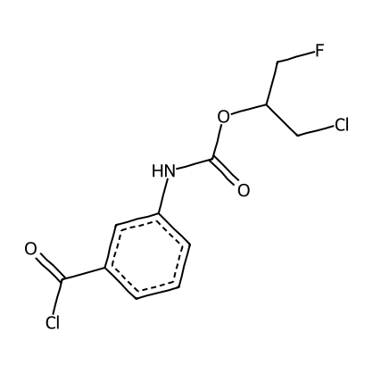 O=C(Nc1cccc(C(=O)Cl)c1)OC(CF)CCl